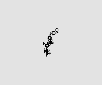 CCS(=O)(=O)N(Cc1ccc(-c2nnc(C(F)F)o2)cc1F)c1ccc(CN2CCN(C(C)=O)CC2)cc1